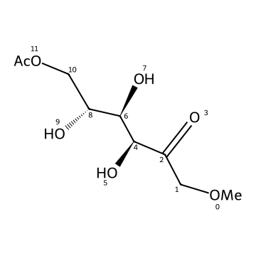 COCC(=O)[C@@H](O)[C@H](O)[C@H](O)COC(C)=O